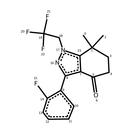 CC1(C)CCC(=O)c2c(-c3ccccc3F)nn(CC(F)(F)F)c21